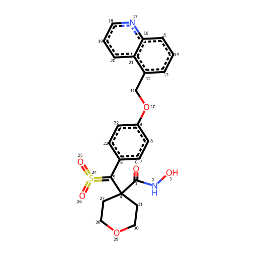 O=C(NO)C1(C(c2ccc(OCc3cccc4ncccc34)cc2)=S(=O)=O)CCOCC1